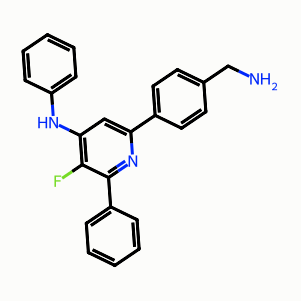 NCc1ccc(-c2cc(Nc3ccccc3)c(F)c(-c3ccccc3)n2)cc1